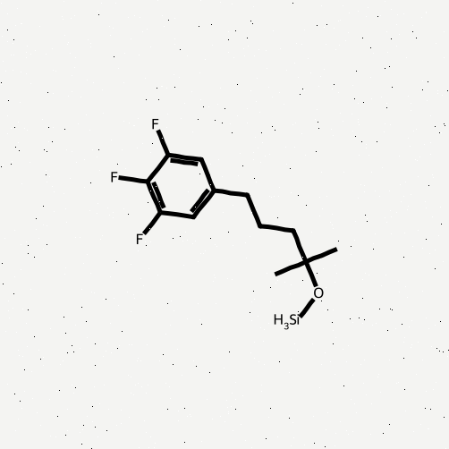 CC(C)(CCCc1cc(F)c(F)c(F)c1)O[SiH3]